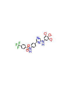 COc1cc(Nc2cncc(-c3ccc(NS(=O)(=O)c4ccc(C(F)(F)F)cc4)cc3)n2)cc(OC)c1OC